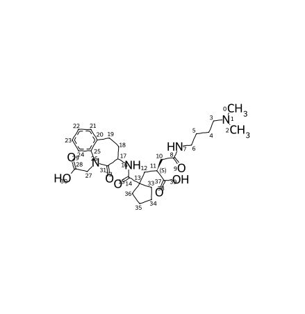 CN(C)CCCCNC(=O)C[C@H](CC1(C(=O)NC2CCc3ccccc3N(CC(=O)O)C2=O)CCCC1)C(=O)O